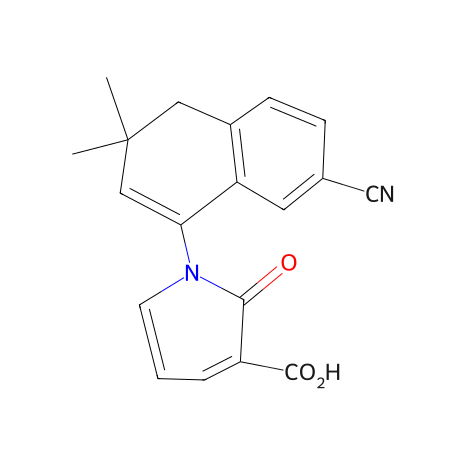 CC1(C)C=C(n2cccc(C(=O)O)c2=O)c2cc(C#N)ccc2C1